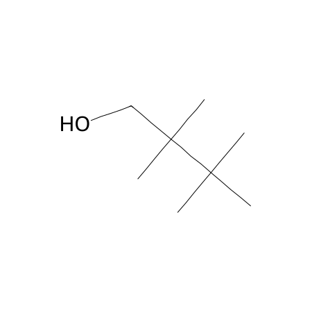 CC(C)(C)C(C)(C)CO